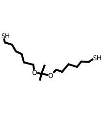 CC(C)(OCCCCCCS)OCCCCCCS